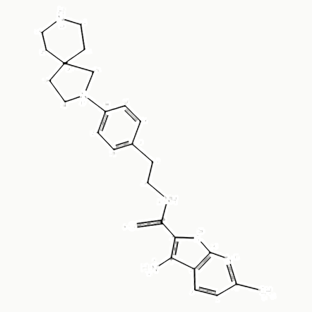 Cc1ccc2c(N)c(C(=O)NCCc3ccc(N4CCC5(CCNCC5)C4)cc3)sc2n1